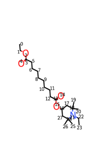 CCOC(=O)CCCCCCCCC(=O)OC1CC(C)(C)N(CC)C(C)(C)C1